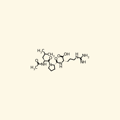 CC(=O)N[C@@H](CC(C)C)C(=O)N1CCC[C@H]1C(=O)N[C@@H](CCCNC(=N)N)C(=O)O